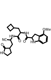 COc1cccc2c1CC(C(=O)NC(CC1CCC1)C(=O)NC(C#N)CC1CCNC1=O)N2